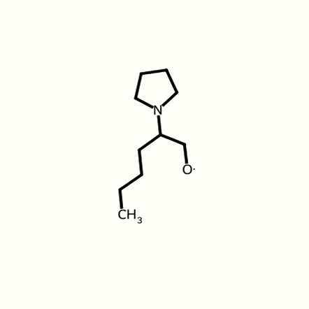 CCCCC(C[O])N1CCCC1